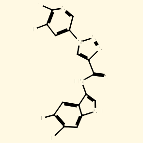 O=C(Nc1c[nH]c2cc(F)c(F)cc12)c1cn(-c2cnc(Br)c(F)c2)nn1